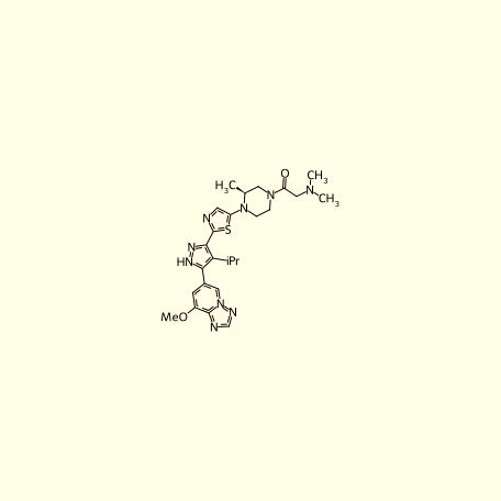 COc1cc(-c2[nH]nc(-c3ncc(N4CCN(C(=O)CN(C)C)C[C@@H]4C)s3)c2C(C)C)cn2ncnc12